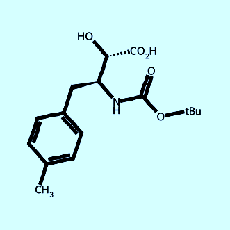 Cc1ccc(C[C@H](NC(=O)OC(C)(C)C)[C@H](O)C(=O)O)cc1